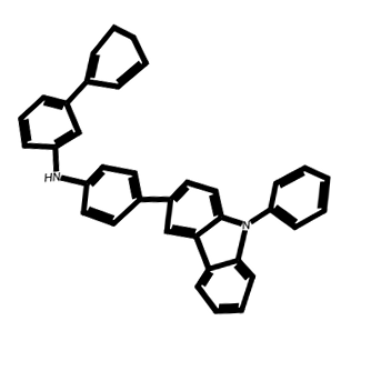 C1=CC(c2cccc(Nc3ccc(-c4ccc5c(c4)c4ccccc4n5-c4ccccc4)cc3)c2)=CCC1